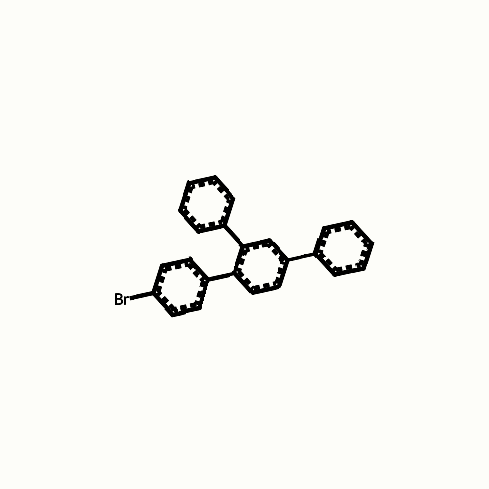 Brc1ccc(-c2ccc(-c3ccccc3)cc2-c2ccccc2)cc1